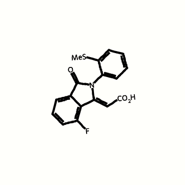 CSc1ccccc1N1C(=O)c2cccc(F)c2/C1=C/C(=O)O